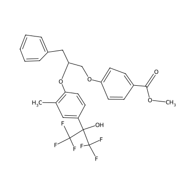 COC(=O)c1ccc(OCC(Cc2ccccc2)Oc2ccc(C(O)(C(F)(F)F)C(F)(F)F)cc2C)cc1